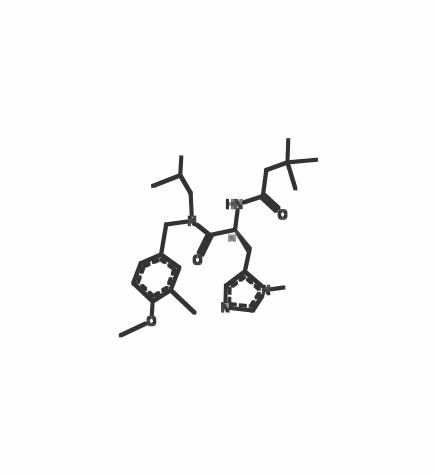 COc1ccc(CN(CC(C)C)C(=O)[C@H](Cc2cncn2C)NC(=O)CC(C)(C)C)cc1C